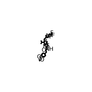 CCS(=O)(=O)c1ccc(CC(=O)Nc2nc3c(s2)CN(CC2CN(CC(F)(F)F)C2)C3C(C)C)cc1